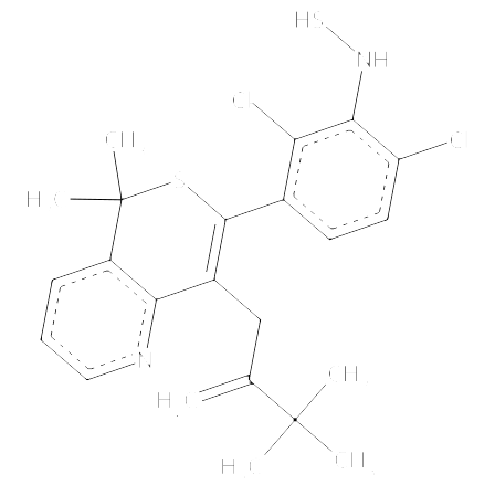 C=C(CC1=C(c2ccc(Cl)c(NS)c2Cl)SC(C)(C)c2cccnc21)C(C)(C)C